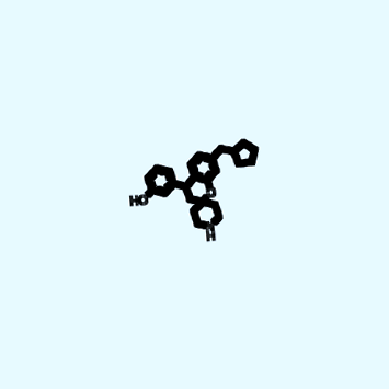 Oc1cccc(C2CC3(CCNCC3)Oc3cc(CC4CCCC4)ccc32)c1